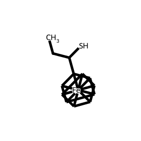 CCC(S)[C]12[CH]3[CH]4[CH]5[CH]1[Fe]45321678[CH]2[CH]1[CH]6[CH]7[CH]28